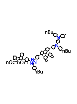 CCCCCCCCC1(CCCCCCCC)c2cc(C)ccc2-c2c1cc(-c1ccc(-c3nc(-c4ccc(CCCC)cc4)nc(-c4ccc(-c5ccc6c(c5)C(c5ccc7c(c5)CC7)(c5ccc7c(c5)CC7)c5cc(-c7ccc(N(c8ccc(CCCC)cc8)c8ccc(N(c9ccc(C)cc9)c9ccc(CCCC)cc9)cc8)cc7)ccc5-6)cc4)n3)cc1)c1ccccc21